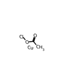 CC(=O)OCl.[Cu]